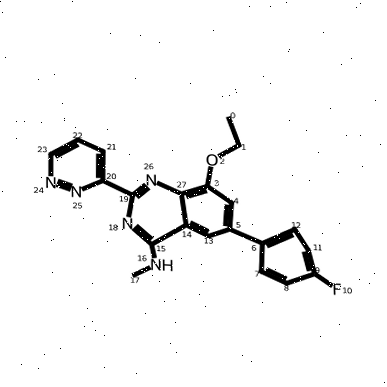 CCOc1cc(-c2ccc(F)cc2)cc2c(NC)nc(-c3cccnn3)nc12